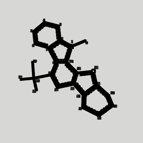 Cn1c2ccccc2c2c(C(C)(C)C)cc3c4ccccc4oc3c21